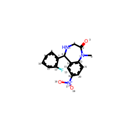 CN1C(=O)CNC(c2ccccc2F)c2cc([N+](=O)[O-])ccc21